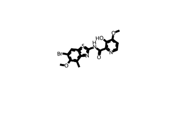 COc1ccnc(C(=O)Nc2nc3c(C)c(OC)c(Br)cc3s2)c1O